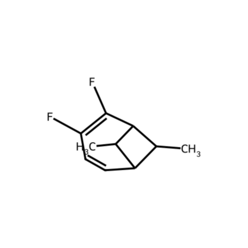 CC1C2C=CC(F)=C(F)C1C2C